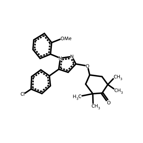 COc1ccccc1-n1nc(OC2CC(C)(C)C(=O)C(C)(C)C2)cc1-c1ccc(Cl)cc1